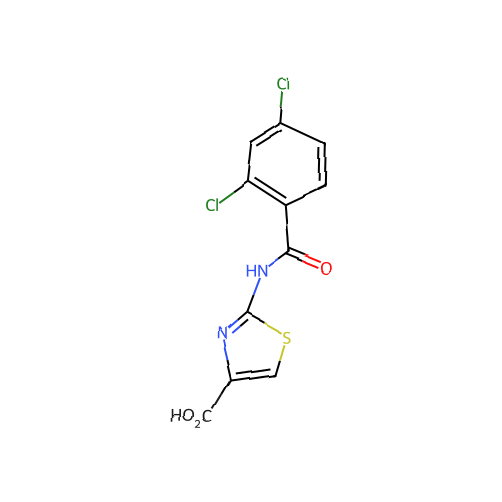 O=C(O)c1csc(NC(=O)c2ccc(Cl)cc2Cl)n1